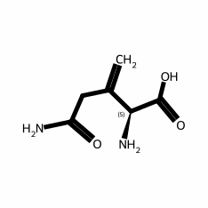 C=C(CC(N)=O)[C@H](N)C(=O)O